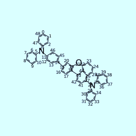 c1ccc(N(c2ccccc2)c2ccc(-c3ccc4c(c3)Oc3cccc5c(N(c6ccccc6)c6ccccc6)ccc-4c35)cc2)cc1